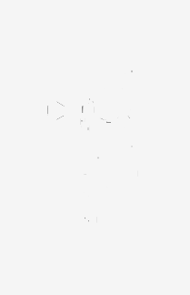 CNCCO[C@@H]1OC(CO)[C@@H](O[C@@H]2OC(CO)[C@H](O)C(O[C@]3(C(=O)O)C[C@@H](O)[C@@H](NC(=O)Cc4ccccc4)C([C@H](O)[C@H](O)CO)O3)[C@@H]2O)C(O)[C@@H]1O